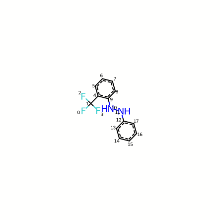 FC(F)(F)c1ccccc1NNc1ccccc1